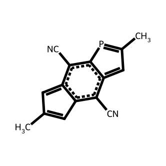 CC1=Cc2c(C#N)c3c(c(C#N)c2=C1)P=C(C)C=3